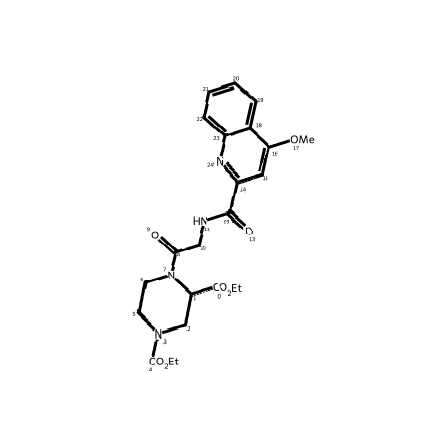 CCOC(=O)C1CN(C(=O)OCC)CCN1C(=O)CNC(=O)c1cc(OC)c2ccccc2n1